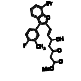 COC(=O)CC(=O)CC(O)C=Cc1oc2c(C(C)C)cccc2c1-c1ccc(F)c(C)c1